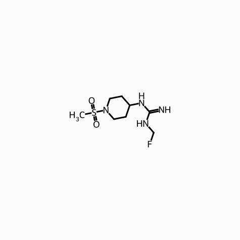 CS(=O)(=O)N1CCC(NC(=N)NCF)CC1